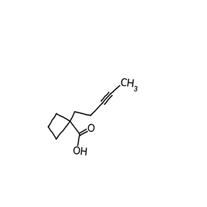 CC#CCCC1(C(=O)O)CCC1